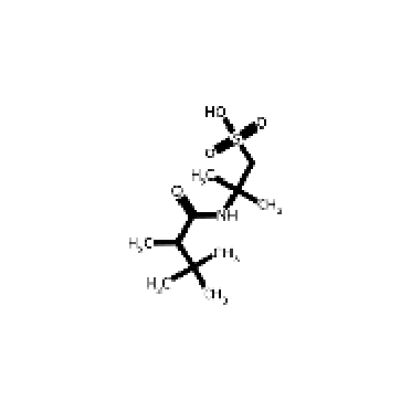 CC(C(=O)NC(C)(C)CS(=O)(=O)O)C(C)(C)C